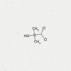 C[Si](C)(O)C(Cl)Cl